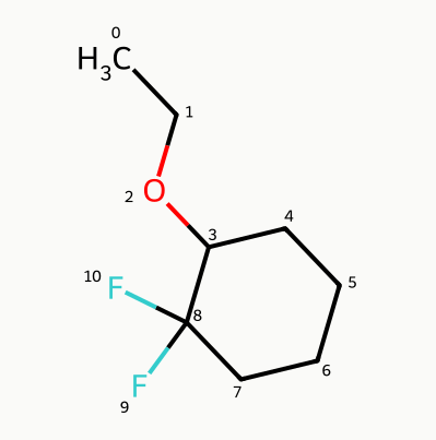 CCOC1CCCCC1(F)F